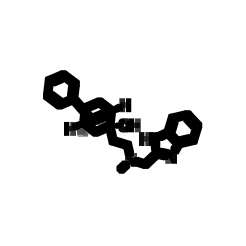 CN(CC[C@@]1(O)C[C@@H]2CC[C@H]1C=C2c1ccccc1)Cc1nc2ccccc2[nH]1